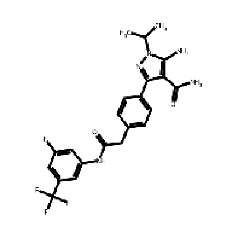 CC(C)n1nc(-c2ccc(CC(=O)Nc3cc(F)cc(C(F)(F)F)c3)cc2)c(C(N)=O)c1N